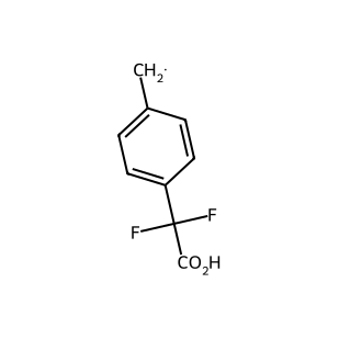 [CH2]c1ccc(C(F)(F)C(=O)O)cc1